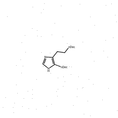 CCCCCCCCCCCCc1nc[nH]c1CCCCCCCCCC